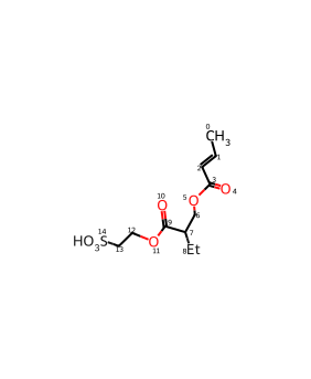 CC=CC(=O)OCC(CC)C(=O)OCCS(=O)(=O)O